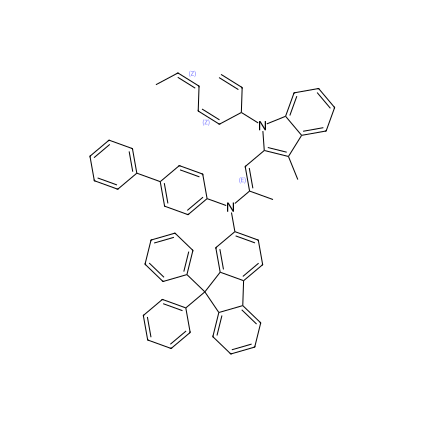 C=CC(/C=C\C=C/C)n1c(/C=C(\C)N(c2ccc(-c3ccccc3)cc2)c2ccc3c(c2)C(c2ccccc2)(c2ccccc2)c2ccccc2-3)c(C)c2ccccc21